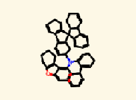 C1=CCC(C2=CCCC=C2N(c2cccc3oc4c(c23)CCCC4)C2C=CC3=C(C2)C2(C4=C3C=CCC4)c3ccccc3C3C=CCCC32)C=C1